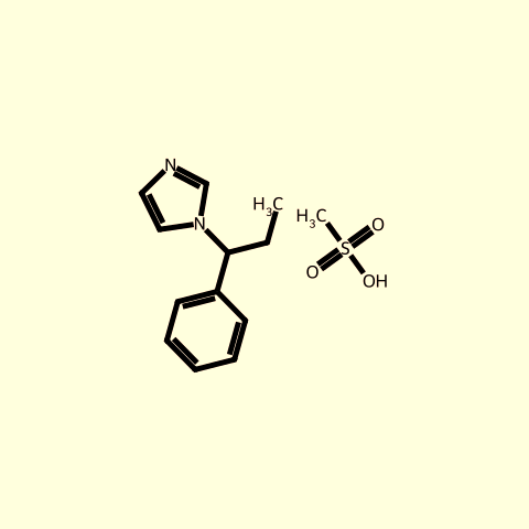 CCC(c1ccccc1)n1ccnc1.CS(=O)(=O)O